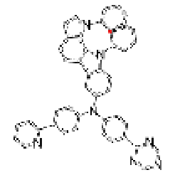 c1ccc(-n2ccc3ccc4c5cc(N(c6ccc(-c7ccccn7)cc6)c6ccc(-c7ncncn7)cc6)ccc5n(-c5ccccc5)c4c32)cc1